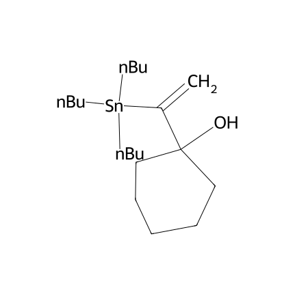 C=[C](C1(O)CCCCC1)[Sn]([CH2]CCC)([CH2]CCC)[CH2]CCC